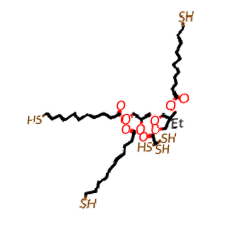 CCC(COCC(COC(=O)CCCCCCCCCCS)OC(=O)CCCCCCCCCCS)(COC(=O)CCCCCCCCCCS)COC(=O)C(S)(S)S